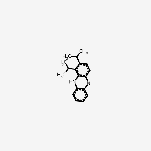 CC(C)c1ccc2c(c1C(C)C)Nc1ccccc1N2